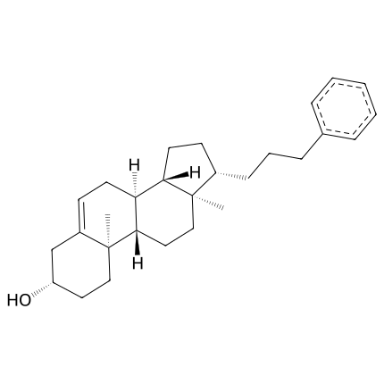 C[C@]12CC[C@H]3[C@@H](CC=C4C[C@@H](O)CC[C@@]43C)[C@@H]1CC[C@@H]2CCCc1ccccc1